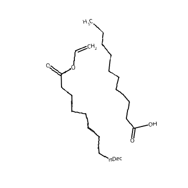 C=COC(=O)CCCCCCCCCCCCCCCCC.CCCCCCCCCC(=O)O